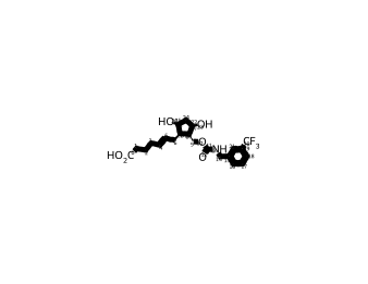 O=C(O)CCCC=CC[C@@H]1[C@@H](COC(=O)NCc2cccc(C(F)(F)F)c2)[C@H](O)C[C@@H]1O